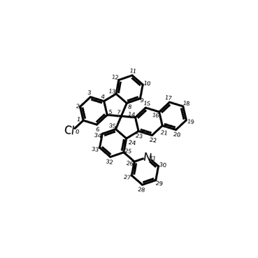 Clc1ccc2c(c1)C1(c3ccccc3-2)c2cc3ccccc3cc2-c2c(-c3ccccn3)cccc21